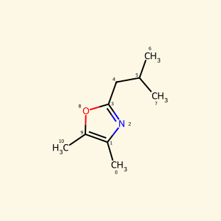 Cc1nc(CC(C)C)oc1C